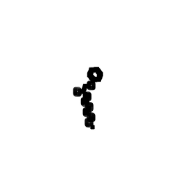 COOOOOOC(=O)COc1ccccc1